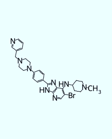 CN1CCC(Nc2c(Br)cnc3[nH]c(-c4ccc(N5CCN(Cc6cccnc6)CC5)cc4)nc23)CC1